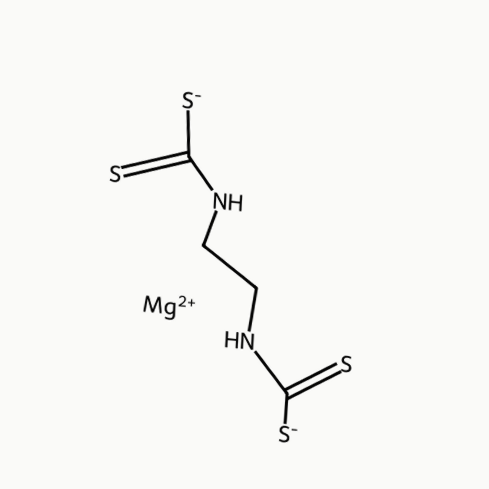 S=C([S-])NCCNC(=S)[S-].[Mg+2]